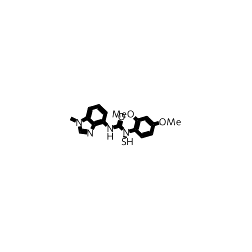 COc1ccc(N(S)C(=O)Nc2cccc3c2ncn3C)c(OC)c1